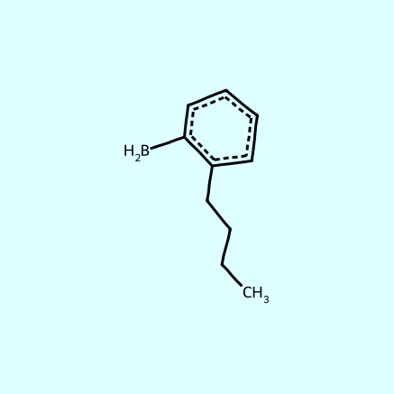 Bc1ccccc1CCCC